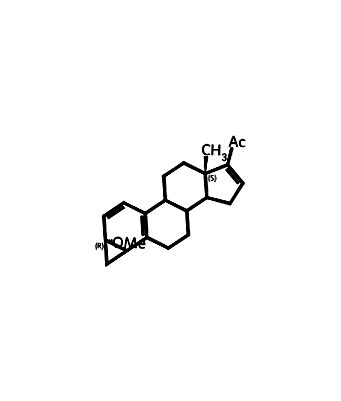 CO[C@]12C=CC3=C(CCC4C3CC[C@]3(C)C(C(C)=O)=CCC43)C1C2